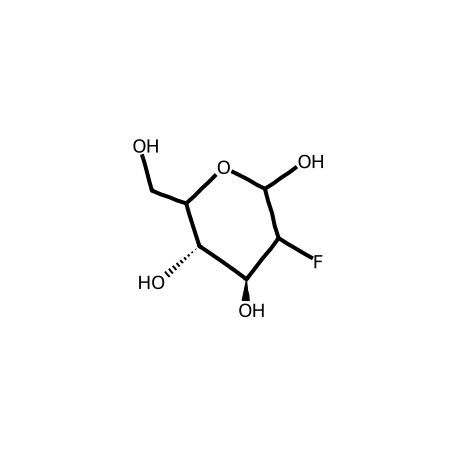 OCC1OC(O)C(F)[C@@H](O)[C@@H]1O